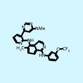 CNc1cc(-c2cccnc2Nc2c(C)ccc3c(Nc4cccc(OC(F)(F)F)c4)nccc23)ncn1